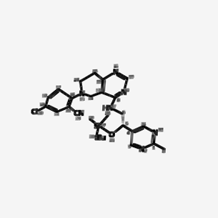 Cc1ncc([C@@H](CNc2ncnc3c2CN(c2ccc(Cl)cc2C#N)CC3)O[Si](C)(C)C(C)(C)C)cn1